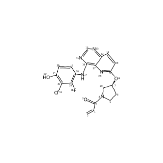 C=CC(=O)N1CC[C@H](Oc2ccc3ncnc(Nc4ccc(O)c(Cl)c4F)c3n2)C1